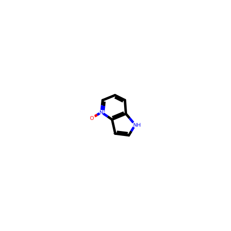 [O-][n+]1cccc2[nH]c[c]c21